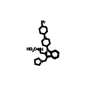 CC(C)C1CCC(N2CCC(n3c(CNC(=O)O)c(CN4CCCC4)c4ccccc43)CC2)CC1